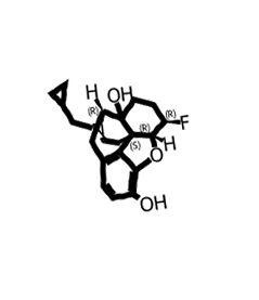 Oc1ccc2c3c1O[C@H]1[C@H](F)CCC4(O)[C@@H](C2)N(CC2CC2)CC[C@]314